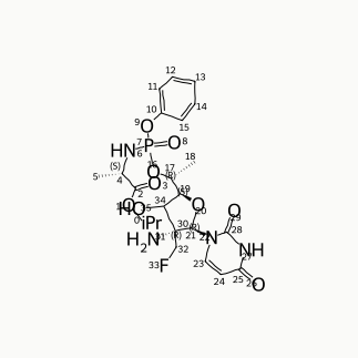 CC(C)OC(=O)[C@H](C)NP(=O)(Oc1ccccc1)O[C@H](C)[C@H]1O[C@@H](n2ccc(=O)[nH]c2=O)[C@@](N)(CF)C1O